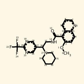 COc1ccc2ncccc2c1C(=O)NCC(c1cnc(C(F)(F)F)nc1)N1CCCCC1